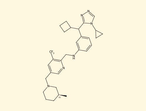 C[C@H]1CCCN(Cc2cnc(CNc3cccc(C(c4nncn4C4CC4)C4CCC4)c3)c(C(F)(F)F)c2)C1